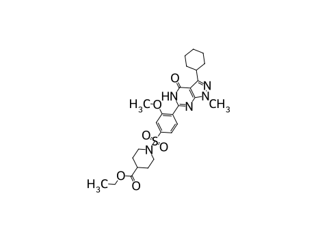 CCOC(=O)C1CCN(S(=O)(=O)c2ccc(-c3nc4c(c(C5CCCCC5)nn4C)c(=O)[nH]3)c(OC)c2)CC1